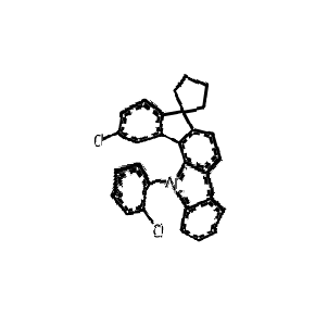 Clc1ccc2c(c1)-c1c(ccc3c4ccccc4n(-c4ccccc4Cl)c13)C21CCCC1